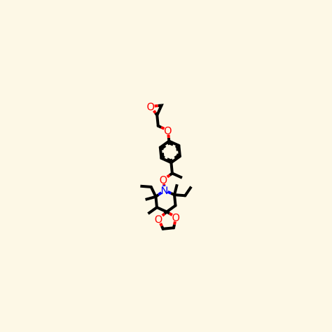 CCC1(C)CC2(OCCO2)C(C)C(C)(CC)N1OC(C)c1ccc(OCC2CO2)cc1